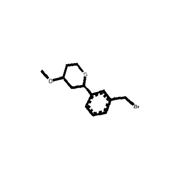 COC1CCOC(c2cccc(CBr)c2)C1